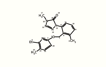 CCc1nc(OCc2c(C)cccc2-n2nnn(C)c2=O)ccc1C